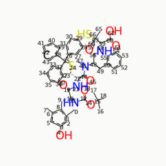 Cc1cc(O)cc(C)c1C[C@@H](NC(=O)OC(C)(C)C)C(=O)N[C@H](CSC(c1ccccc1)(c1ccccc1)c1ccccc1)C(=O)N(C)[C@H](Cc1ccccc1)C(=O)N[C@@H](C(=O)O)C(C)(C)S